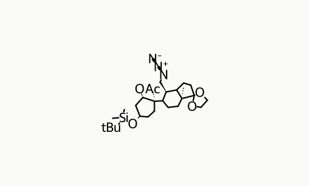 CC(=O)O[C@H]1C[C@@H](O[Si](C)(C)C(C)(C)C)CC[C@]1(C)C1CC[C@@]2(C)C(CCC23OCCO3)[C@@H]1CN=[N+]=[N-]